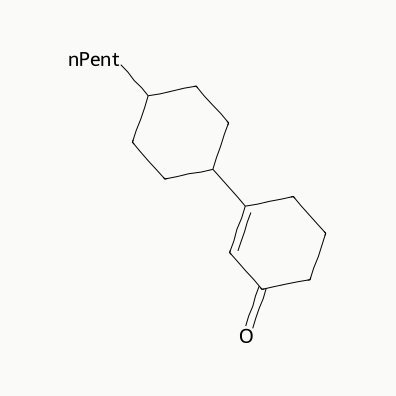 CCCCCC1CCC(C2=CC(=O)CCC2)CC1